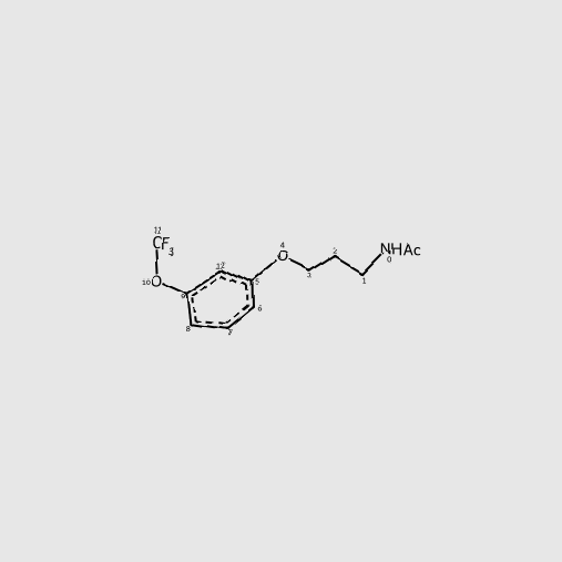 CC(=O)NCCCOc1cccc(OC(F)(F)F)c1